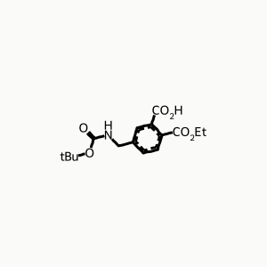 CCOC(=O)c1ccc(CNC(=O)OC(C)(C)C)cc1C(=O)O